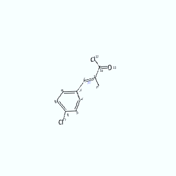 C/C(=C\c1ccc(Cl)cc1)C(=O)Cl